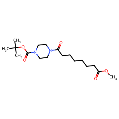 COC(=O)CCCCCCC(=O)N1CCN(C(=O)OC(C)(C)C)CC1